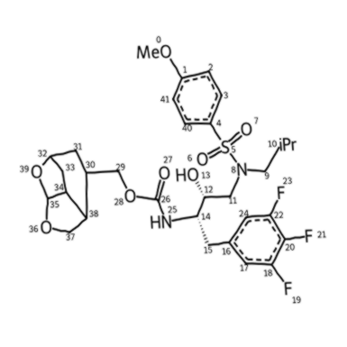 COc1ccc(S(=O)(=O)N(CC(C)C)C[C@@H](O)[C@H](Cc2cc(F)c(F)c(F)c2)NC(=O)OCC2CC3CC4C(OCC24)O3)cc1